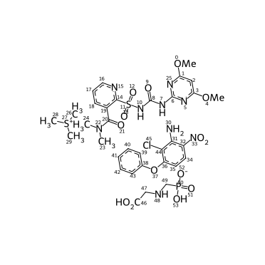 COc1cc(OC)nc(NC(=O)NS(=O)(=O)c2ncccc2C(=O)N(C)C)n1.C[S+](C)C.Nc1c([N+](=O)[O-])ccc(Oc2ccccc2)c1Cl.O=C(O)CNCP(=O)([O-])O